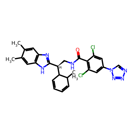 Cc1cc2nc([C@@H](CNC(=O)c3c(Cl)cc(-n4cnnn4)cc3Cl)C3C=CC=CC3C)[nH]c2cc1C